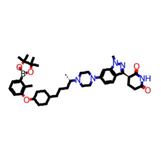 Cc1c(OC2CCC(CCC[C@H](C)N3CCN(c4ccc5c([C@@H]6CCC(=O)NC6=O)nn(C)c5c4)CC3)CC2)cccc1B1OC(C)(C)C(C)(C)O1